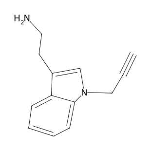 C#CCn1cc(CCN)c2ccccc21